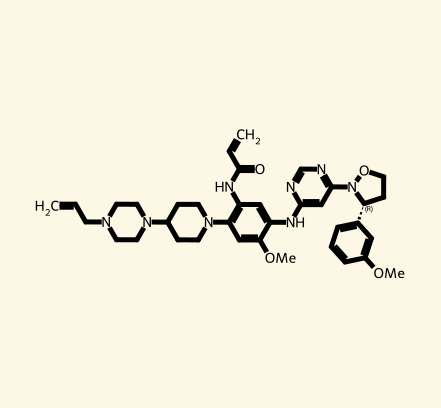 C=CCN1CCN(C2CCN(c3cc(OC)c(Nc4cc(N5OCC[C@@H]5c5cccc(OC)c5)ncn4)cc3NC(=O)C=C)CC2)CC1